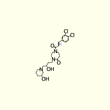 O=C(/C=C/c1ccc(Cl)c(Cl)c1)N1CCC(=O)N(CCC(O)CN2CCCC(O)C2)CC1